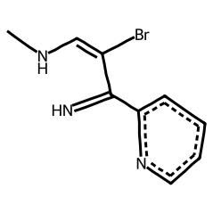 CN/C=C(/Br)C(=N)c1ccccn1